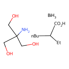 CCCCC(CC)C(=O)O.NC(CO)(CO)CO.[BiH3]